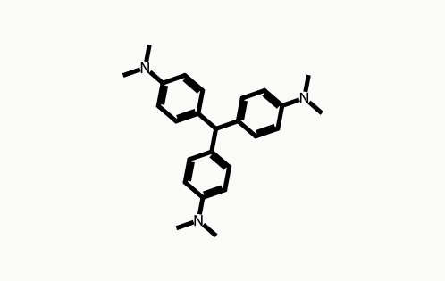 CN(C)c1ccc(C(c2ccc(N(C)C)cc2)c2ccc(N(C)C)cc2)cc1